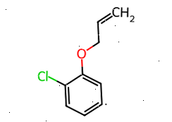 C=CCOc1c[c]ccc1Cl